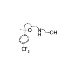 CC1(c2ccc(C(F)(F)F)cc2)CCC(CNCCO)O1